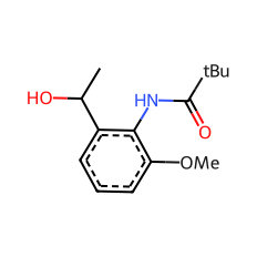 COc1cccc(C(C)O)c1NC(=O)C(C)(C)C